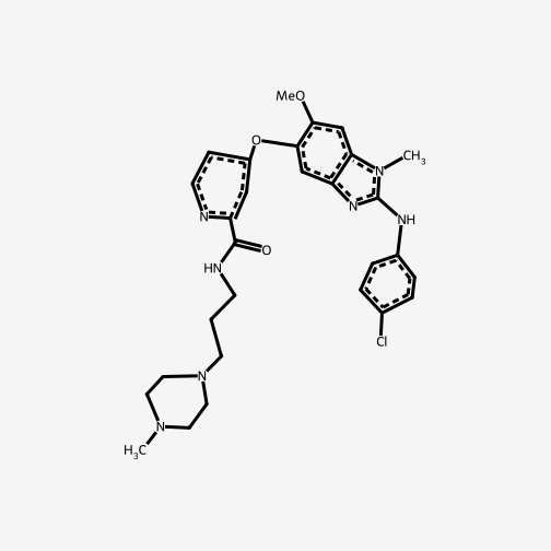 COc1cc2c(cc1Oc1ccnc(C(=O)NCCCN3CCN(C)CC3)c1)nc(Nc1ccc(Cl)cc1)n2C